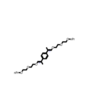 CCCOCCOCCO/C=C(\C)c1ccc(/C(C)=C/OCCOCCOCCC)cc1